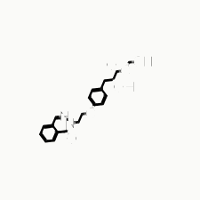 CCOC(=O)C(O)Cc1ccc(OCCn2ncc3ccccc3c2=O)cc1